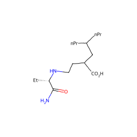 CCCC(CCC)CC(CCN[C@@H](CC)C(N)=O)C(=O)O